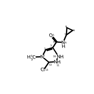 CN1C=C(C(=O)NC2CC2)NNC1Cl